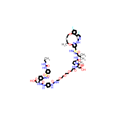 CCCNC(=O)Nc1cccc(S(=O)(=O)Nc2cccc([C@@H](CC(=O)O)NC(=O)Nc3ccc(NC(=O)NCCOCCOCCOCCC(=O)N[C@@H](CC(=O)O)C(C)(O)N4CCC[C@H]4C(=O)N[C@H](C(=O)/N=[SH](=N)\Cc4cc5nc(c4)O[C@H](C)CCCCOc4cc(F)ccc4-c4cc(ncc4F)N5)C(C)C)cc3)c2)c1